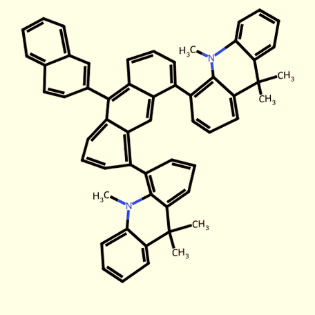 CN1c2ccccc2C(C)(C)c2cccc(-c3cccc4c(-c5ccc6ccccc6c5)c5cccc(-c6cccc7c6N(C)c6ccccc6C7(C)C)c5cc34)c21